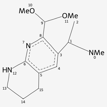 CNC(C)c1cc2c(nc1C(OC)OC)NCCC2